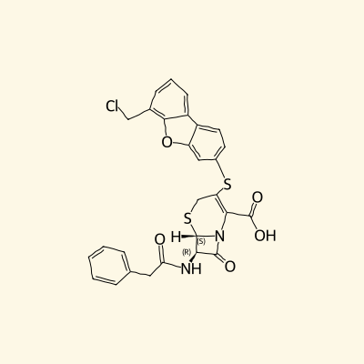 O=C(Cc1ccccc1)N[C@@H]1C(=O)N2C(C(=O)O)=C(Sc3ccc4c(c3)oc3c(CCl)cccc34)CS[C@@H]12